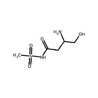 CS(=O)(=O)NC(=O)CC(N)CO